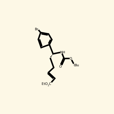 CCOC(=O)/C=C/CC[C@@H](NC(=O)OC(C)(C)C)c1ccc(Br)cc1